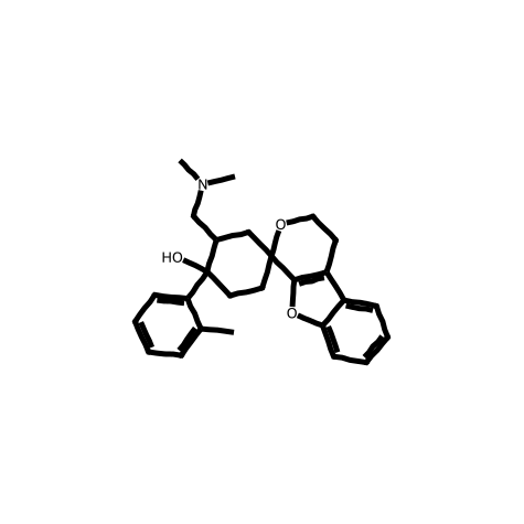 Cc1ccccc1C1(O)CCC2(CC1CN(C)C)OCCc1c2oc2ccccc12